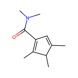 CC1=CC(C(=O)N(C)C)=C(C)C1C